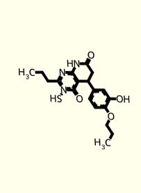 CCCOc1ccc(C2CC(=O)Nc3nc(CCC)n(S)c(=O)c32)cc1O